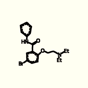 CCN(CC)CCOc1ccc(Br)cc1C(=O)Nc1ccccc1